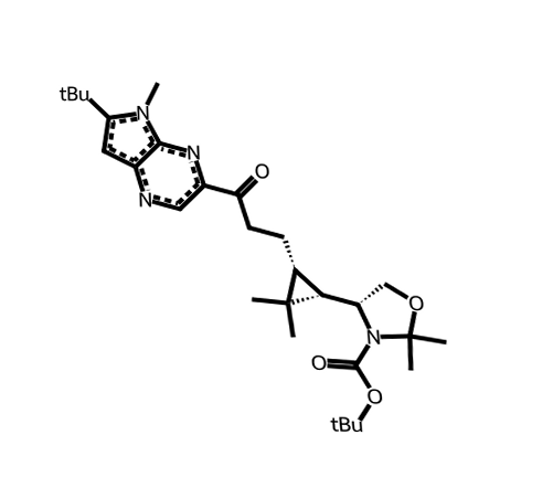 Cn1c(C(C)(C)C)cc2ncc(C(=O)CC[C@@H]3[C@H]([C@@H]4COC(C)(C)N4C(=O)OC(C)(C)C)C3(C)C)nc21